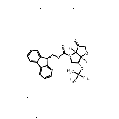 CC(C)(C)O[C@@H]1CN(C(=O)OCC2c3ccccc3-c3ccccc32)[C@@H]2C(=O)CO[C@@H]21